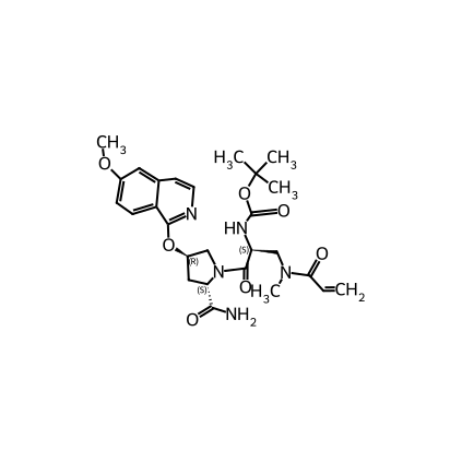 C=CC(=O)N(C)C[C@H](NC(=O)OC(C)(C)C)C(=O)N1C[C@H](Oc2nccc3cc(OC)ccc23)C[C@H]1C(N)=O